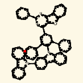 c1ccc(-c2nc(-c3cc(-c4ccccc4)c(-n4c5ccccc5c5ccc(-n6c7ccccc7c7ccccc76)cc54)c(-c4ccccc4)c3)c3oc4ccccc4c3n2)cc1